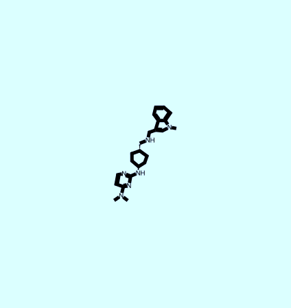 CN(C)c1ccnc(N[C@H]2CC[C@@H](CNCc3cn(C)c4ccccc34)CC2)n1